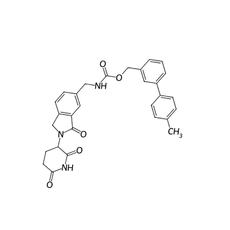 Cc1ccc(-c2cccc(COC(=O)NCc3ccc4c(c3)C(=O)N(C3CCC(=O)NC3=O)C4)c2)cc1